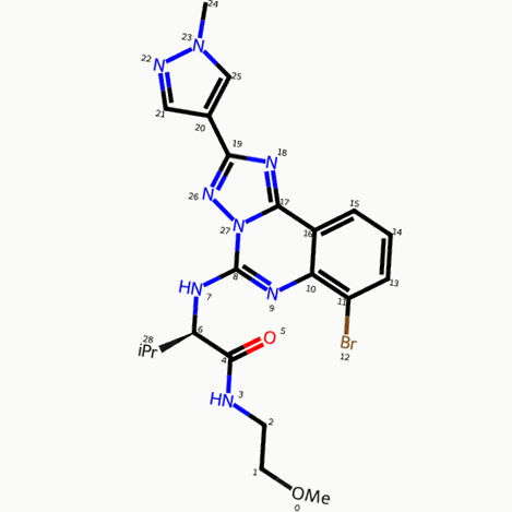 COCCNC(=O)[C@H](Nc1nc2c(Br)cccc2c2nc(-c3cnn(C)c3)nn12)C(C)C